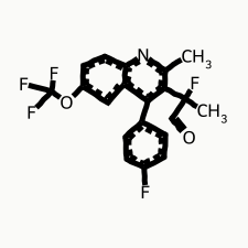 Cc1nc2ccc(OC(F)(F)F)cc2c(-c2ccc(F)cc2)c1C(C)(F)C=O